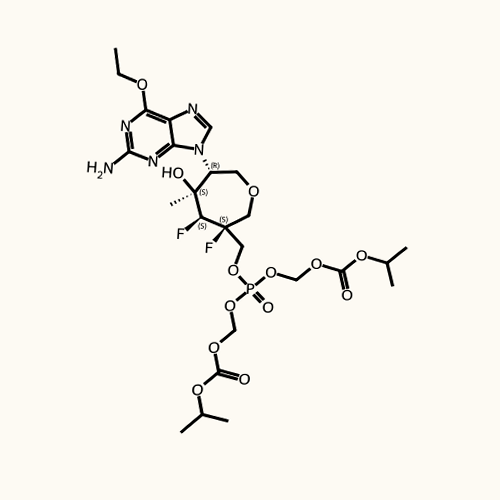 CCOc1nc(N)nc2c1ncn2[C@@H]1COC[C@](F)(COP(=O)(OCOC(=O)OC(C)C)OCOC(=O)OC(C)C)[C@@H](F)[C@@]1(C)O